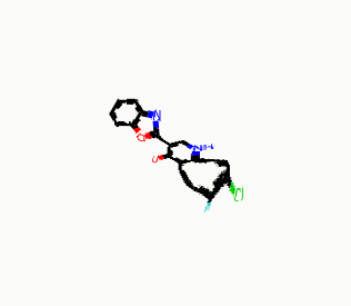 O=c1c(-c2nc3ccccc3o2)c[nH]c2cc(Cl)c(F)cc12